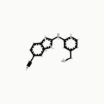 N#Cc1ccc2nc(Nc3cc(CO)ccn3)sc2c1